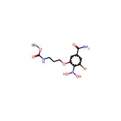 CC(C)(C)OC(=O)NCCCOc1cc(C(N)=O)cc(Br)c1N(O)O